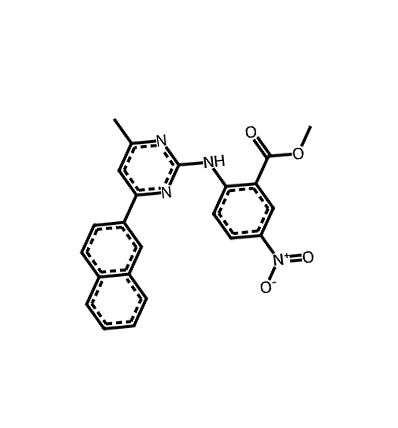 COC(=O)c1cc([N+](=O)[O-])ccc1Nc1nc(C)cc(-c2ccc3ccccc3c2)n1